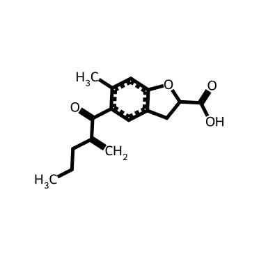 C=C(CCC)C(=O)c1cc2c(cc1C)OC(C(=O)O)C2